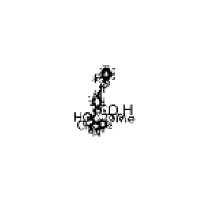 COc1ccc2ncc(Cl)c([C@H](O)CCC3(CC(=O)O)CCN(CCCSc4ccccc4F)CC3)c2c1